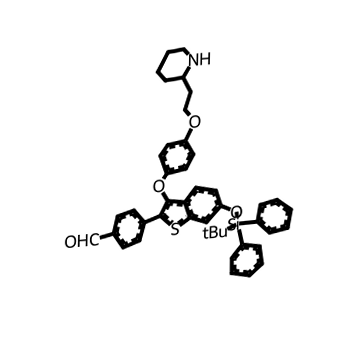 CC(C)(C)[Si](Oc1ccc2c(Oc3ccc(OCCC4CCCCN4)cc3)c(-c3ccc(C=O)cc3)sc2c1)(c1ccccc1)c1ccccc1